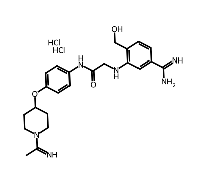 CC(=N)N1CCC(Oc2ccc(NC(=O)CNc3cc(C(=N)N)ccc3CO)cc2)CC1.Cl.Cl